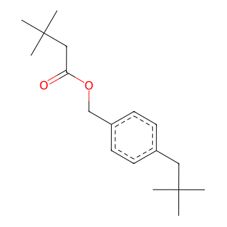 CC(C)(C)CC(=O)OCc1ccc(CC(C)(C)C)cc1